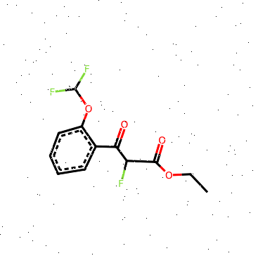 CCOC(=O)C(F)C(=O)c1ccccc1OC(F)F